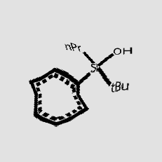 CCC[Si](O)(c1ccccc1)C(C)(C)C